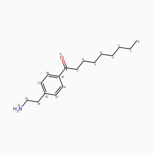 CCCCCCCCC(=O)c1ccc(CCN)cc1